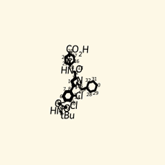 CC(C)(C)NS(=O)(=O)c1ccc(-c2cc(C(=O)NC34CCC(C(=O)O)(CC3)CC4)nn2CC2CCCCC2)c(Cl)c1Cl